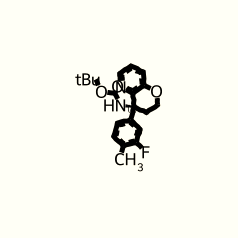 Cc1ccc([C@@]2(NC(=O)OC(C)(C)C)CCOc3cccnc32)cc1F